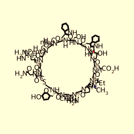 C/C=N\C(CC)C[C@@H]1NC(=O)[C@@H]2CCCN2C(=O)[C@H](CN)NC(=O)[C@H](C)N(C)C(=O)[C@H](Cc2ccc(O)cc2)NC(=O)CSC[C@@H](C(=O)NCC(N)=O)NC(=O)[C@H](CCCNC(=N)N)NC(=O)[C@H](CCCCC)N(C)C(=O)[C@H](CCCC)N(C)C(=O)[C@H](Cc2c[nH]c3ccccc23)NC(=O)[C@H](CO)NC(=O)[C@H](Cc2c[nH]c3ccccc23)NC(=O)[C@@H]2C[C@@H](O)CN2C(=O)[C@H](CCC(=O)O)NC1=O